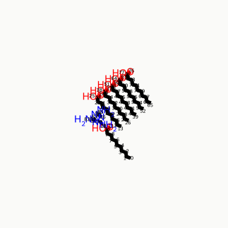 CCCCCCCCCCC(=O)O.CCCCCCCCCCC(=O)O.CCCCCCCCCCC(=O)O.CCCCCCCCCCC(=O)O.CCCCCCCCCCC(=O)O.CCCCCCCCCCC(=O)O.Nc1nc(N)nc(N)n1